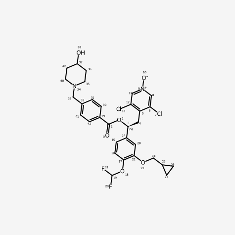 O=C(O[C@@H](Cc1c(Cl)c[n+]([O-])cc1Cl)c1ccc(OC(F)F)c(OCC2CC2)c1)c1ccc(CN2CCC(O)CC2)cc1